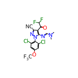 CN(C)C=Nc1c(C(=O)C(F)F)c(C#N)nn1-c1c(Cl)cc(OC(F)(F)F)cc1Cl